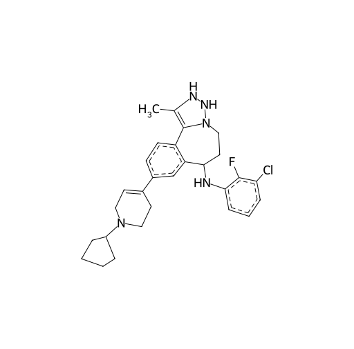 CC1=C2c3ccc(C4=CCN(C5CCCC5)CC4)cc3C(Nc3cccc(Cl)c3F)CCN2NN1